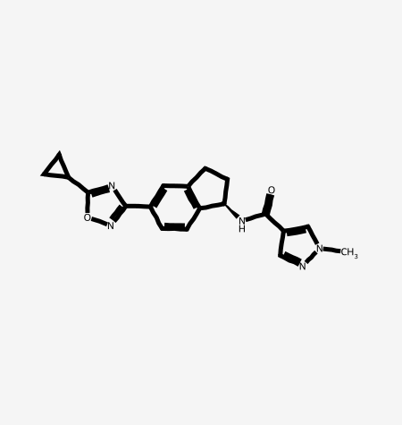 Cn1cc(C(=O)N[C@@H]2CCc3cc(-c4noc(C5CC5)n4)ccc32)cn1